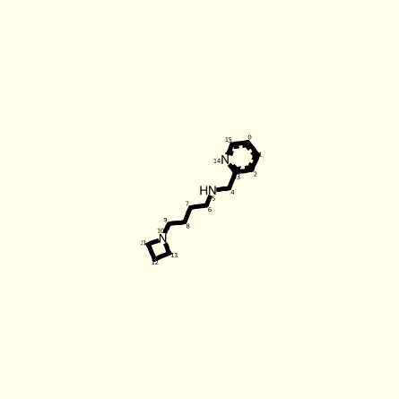 c1ccc(CNCCCCN2CCC2)nc1